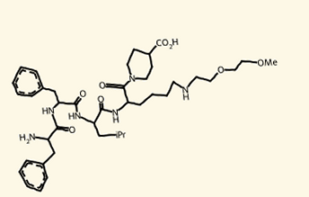 COCCOCCNCCCCC(NC(=O)C(CC(C)C)NC(=O)C(Cc1ccccc1)NC(=O)C(N)Cc1ccccc1)C(=O)N1CCC(C(=O)O)CC1